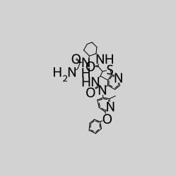 Cc1nc(Oc2ccccc2)ccc1N1C(=O)NC2c3c1ccnc3SC2C(=O)N[C@H]1CCCC[C@H]1NC(=O)CN